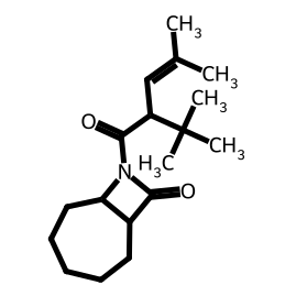 CC(C)=CC(C(=O)N1C(=O)C2CCCCCC21)C(C)(C)C